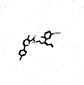 C=C/C=C(/CCNC(=O)C1=C(C)C=C=C(c2ccc(C)cc2)S1)c1cc(OC)ccc1C